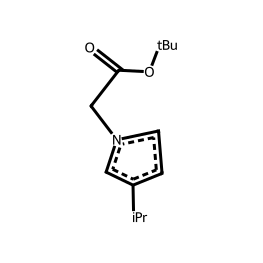 CC(C)c1ccn(CC(=O)OC(C)(C)C)c1